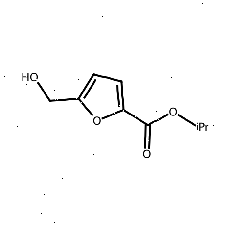 CC(C)OC(=O)c1ccc(CO)o1